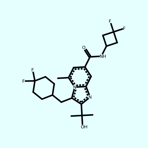 Cc1cc(C(=O)NC2CC(F)(F)C2)cc2nc(C(C)(C)O)c(CC3CCC(F)(F)CC3)n12